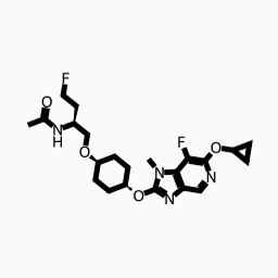 CC(=O)N[C@@H](CCF)CO[C@H]1CC[C@H](Oc2nc3cnc(OC4CC4)c(F)c3n2C)CC1